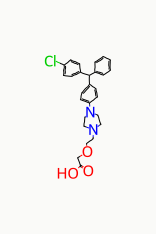 O=C(O)COCCN1CCN(c2ccc(C(c3ccccc3)c3ccc(Cl)cc3)cc2)CC1